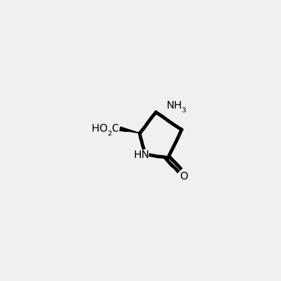 N.O=C1CC[C@H](C(=O)O)N1